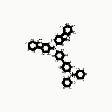 c1ccc(N(c2ccccc2)c2ccc(-c3ccc(N(c4ccc5c(c4)oc4ccccc45)c4ccc5c(c4)oc4ccccc45)cc3)cc2)cc1